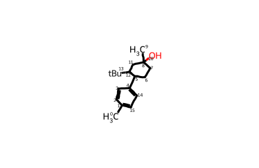 Cc1ccc(C2CCC(C)(O)CC2C(C)(C)C)cc1